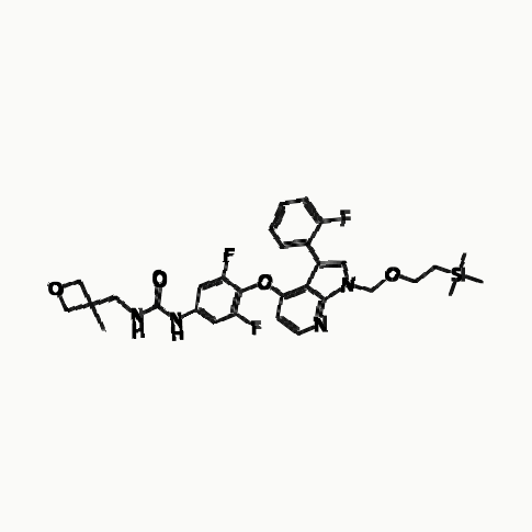 CC1(CNC(=O)Nc2cc(F)c(Oc3ccnc4c3c(-c3ccccc3F)cn4COCC[Si](C)(C)C)c(F)c2)COC1